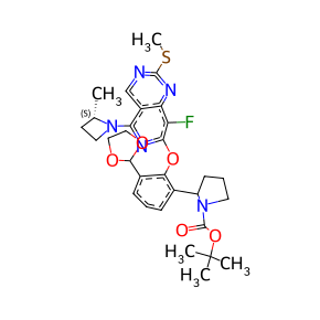 CSc1ncc2c(N3CC[C@@H]3C)nc(Oc3c(C4OCCO4)cccc3C3CCCN3C(=O)OC(C)(C)C)c(F)c2n1